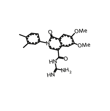 COc1cc2c(C(=O)NC(=N)N)cn(-c3ccc(C)c(C)c3)c(=O)c2cc1OC